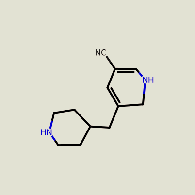 N#CC1=CNCC(CC2CCNCC2)=C1